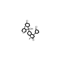 Cc1ccncc1C(O)(c1ccc(Cl)cc1)c1ccc2c(c1)c(-c1cccc(Cl)c1)cc(=O)n2C